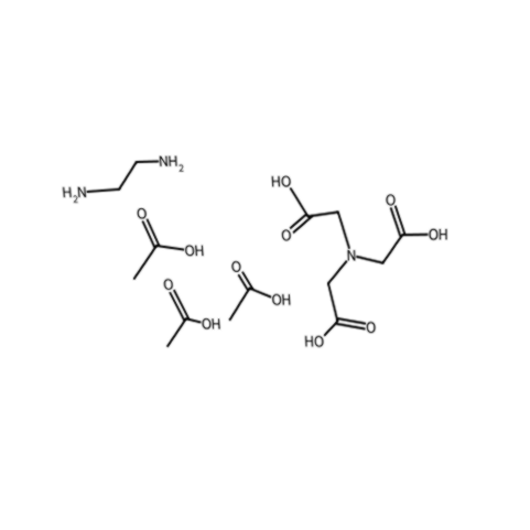 CC(=O)O.CC(=O)O.CC(=O)O.NCCN.O=C(O)CN(CC(=O)O)CC(=O)O